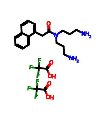 NCCCN(CCCN)C(=O)Cc1cccc2ccccc12.O=C(O)C(F)(F)F.O=C(O)C(F)(F)F